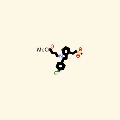 COC(=O)CCCn1c(-c2ccc(Cl)cc2)cc2c(CCS(C)(=O)=O)cccc21